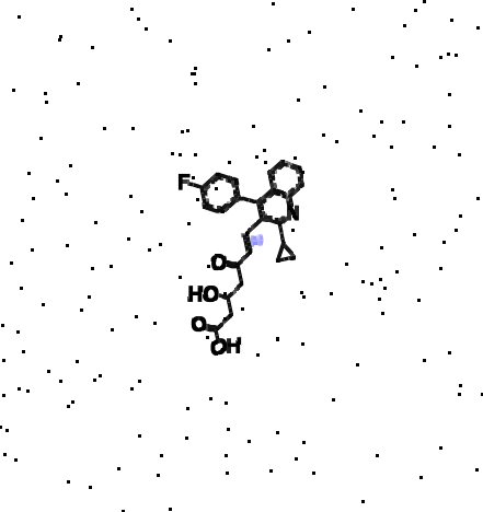 O=C(O)CC(O)CC(=O)/C=C/c1c(C2CC2)nc2ccccc2c1-c1ccc(F)cc1